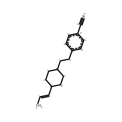 CC=CC1CCC(CCc2ccc(C#N)cc2)CC1